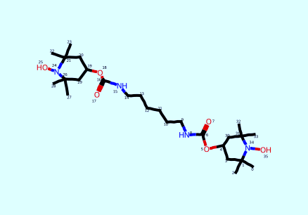 CC1(C)CC(OC(=O)NCCCCCCNC(=O)OC2CC(C)(C)N(O)C(C)(C)C2)CC(C)(C)N1O